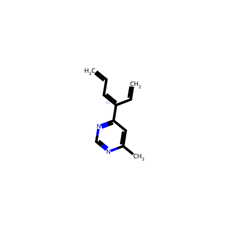 C=C/C=C(\C=C)c1cc(C)ncn1